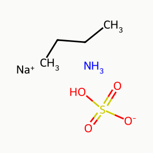 CCCC.N.O=S(=O)([O-])O.[Na+]